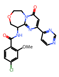 COc1cc(Cl)ccc1C(=O)NC1COCCn2c1nc(-c1ccncn1)cc2=O